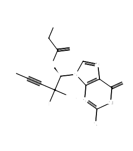 CC#CC(C)(Cl)[C@@H](OC(=O)CO)n1cnc2c(=O)[nH]c(N)nc21